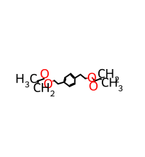 C=C(C)C(=O)OCCc1ccc(CCOC(=O)C(=C)C)cc1